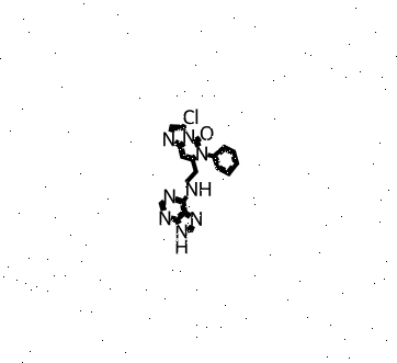 O=c1n(-c2ccccc2)c(CCNc2ncnc3[nH]cnc23)cc2ncc(Cl)n12